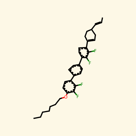 C/C=C/C1CC=C(c2ccc(-c3ccc(-c4ccc(OCCCCCCC)c(F)c4F)cc3)c(F)c2F)CC1